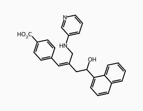 O=C(O)c1ccc(C=C(CNc2cccnc2)CC(O)c2cccc3ccccc23)cc1